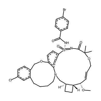 CO[C@H]1/C=C/COC(C)(C)C(=O)N=[S@@](=O)(NC(=O)c2ccc(Br)cc2)c2ccc3c(c2)N(CCCCc2cc(Cl)ccc2CO3)C[C@@H]2CC[C@H]21